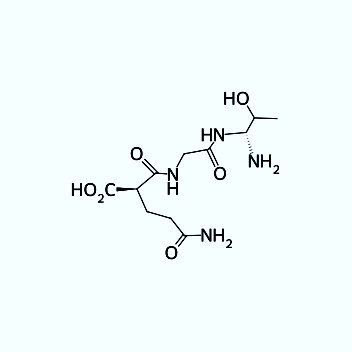 CC(O)[C@H](N)NC(=O)CNC(=O)[C@@H](CCC(N)=O)C(=O)O